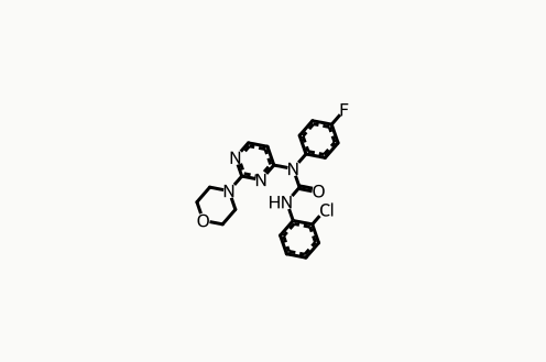 O=C(Nc1ccccc1Cl)N(c1ccc(F)cc1)c1ccnc(N2CCOCC2)n1